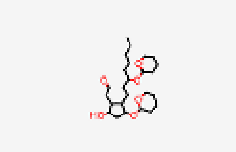 CCCCCC(CCC1C(OC2CCCCO2)CC(O)C1CC=O)OC1CCCCO1